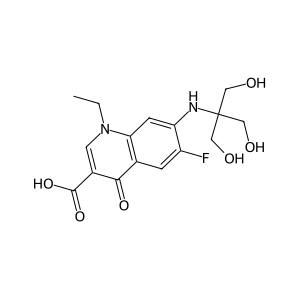 CCn1cc(C(=O)O)c(=O)c2cc(F)c(NC(CO)(CO)CO)cc21